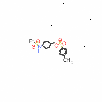 CCS(=O)(=O)NC1CCC(COS(=O)(=O)c2ccc(C)cc2)CC1